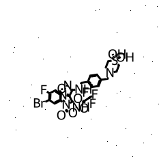 O=C1ONC(OC(=O)C(F)(F)F)(c2nonc2NCc2ccc(CN3CCS(O)(O)CC3)cc2)N1c1ccc(F)c(Br)c1